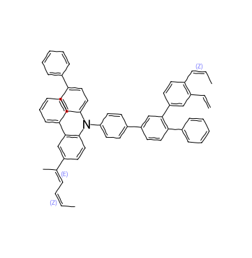 C=Cc1cc(-c2cc(-c3ccc(N(c4ccc(-c5ccccc5)cc4)c4ccc(/C(C)=C/C=C\C)cc4-c4ccccc4)cc3)ccc2-c2ccccc2)ccc1/C=C\C